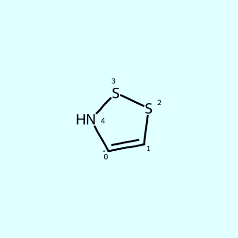 [C]1=CSSN1